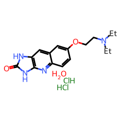 CCN(CC)CCOc1ccc2nc3[nH]c(=O)[nH]c3cc2c1.Cl.Cl.O